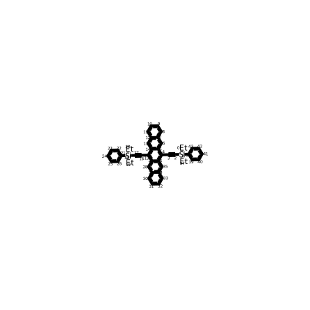 CC[Si](C#Cc1c2cc3ccccc3cc2c(C#C[Si](CC)(CC)c2ccccc2)c2cc3ccccc3cc12)(CC)c1ccccc1